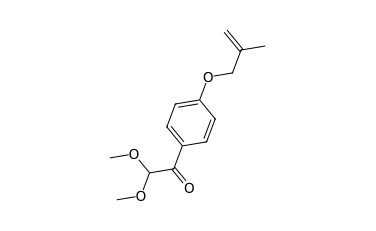 C=C(C)COc1ccc(C(=O)C(OC)OC)cc1